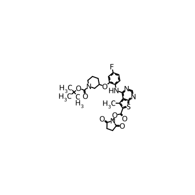 Cc1c(C(=O)ON2C(=O)CCC2=O)sc2ncnc(Nc3ccc(F)cc3OC3CCCN(C(=O)OC(C)(C)C)C3)c12